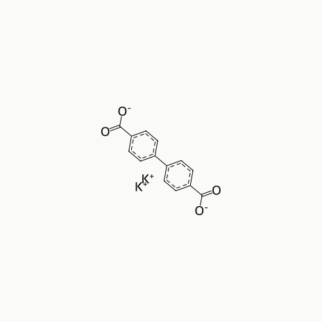 O=C([O-])c1ccc(-c2ccc(C(=O)[O-])cc2)cc1.[K+].[K+]